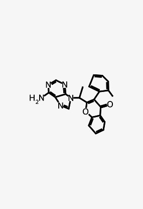 Cc1ccccc1-c1c(C(C)n2cnc3c(N)ncnc32)oc2ccccc2c1=O